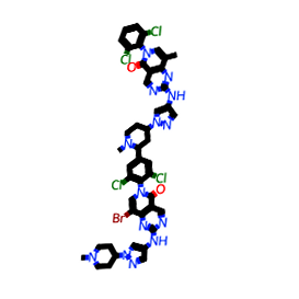 Cc1cn(-c2c(Cl)cccc2Cl)c(=O)c2cnc(Nc3cnn(C4CCN(C)C(c5cc(Cl)c(-n6cc(Br)c7nc(Nc8cnn(C9CCN(C)CC9)c8)ncc7c6=O)c(Cl)c5)C4)c3)nc12